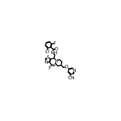 N#Cc1cncc(OCC2CCN(C(CNC(=O)c3c(F)cccc3Cl)c3scnc3C(F)F)CC2)c1